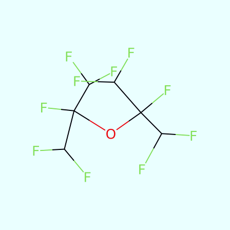 FC(F)C(F)(OC(F)(C(F)F)C(F)F)C(F)F